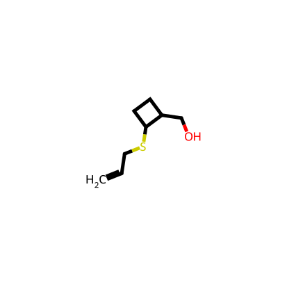 C=CCSC1CCC1CO